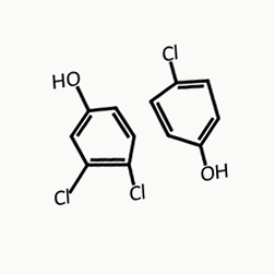 Oc1ccc(Cl)c(Cl)c1.Oc1ccc(Cl)cc1